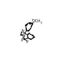 COc1ccc(C2(c3ccccc3C(F)(F)F)N=CC=N2)cc1